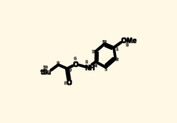 COc1ccc(NOC(=O)CC(C)(C)C)cc1